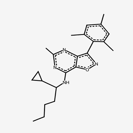 CCCCC(Nc1nc(C)nc2c(-c3c(C)cc(C)cc3C)noc12)C1CC1